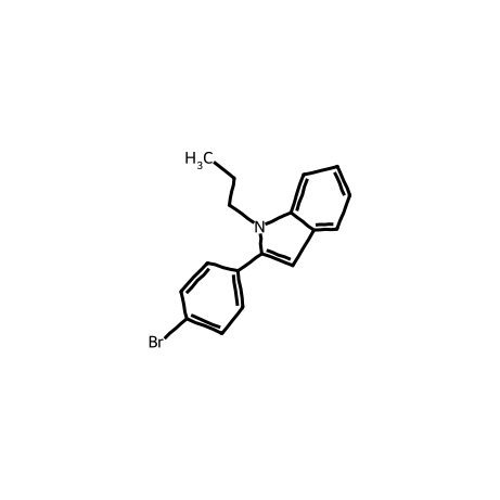 CCCn1c(-c2ccc(Br)cc2)cc2ccccc21